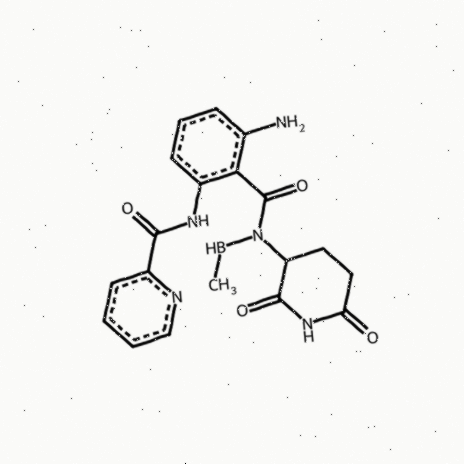 CBN(C(=O)c1c(N)cccc1NC(=O)c1ccccn1)C1CCC(=O)NC1=O